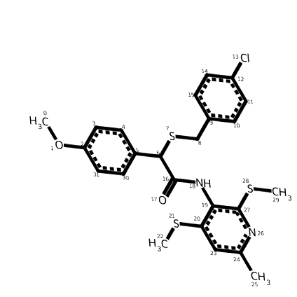 COc1ccc(C(SCc2ccc(Cl)cc2)C(=O)Nc2c(SC)cc(C)nc2SC)cc1